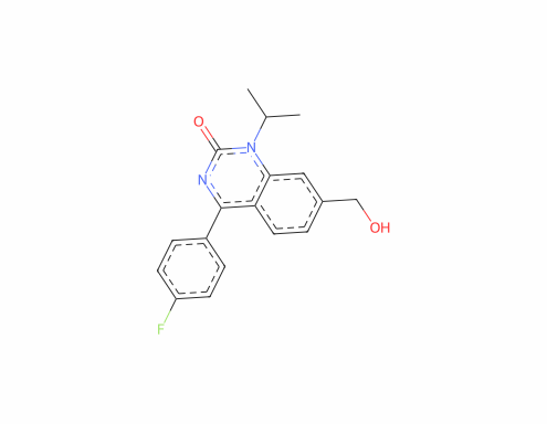 CC(C)n1c(=O)nc(-c2ccc(F)cc2)c2ccc(CO)cc21